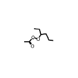 CCCC(CC)OOC(C)=O